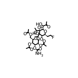 CC(=O)OC[C@H]1O[C@H](O[C@@H]2[C@H](CCF)O[C@@H](C(O)C(C)=O)[C@](O)(C(C)=O)[C@@]2(O)C(C)=O)[C@@H](OC(C)=O)[C@@H](OC(N)=O)[C@@H]1OC(C)=O